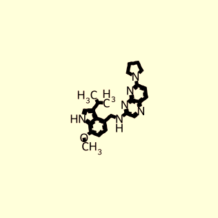 COc1ccc(CNc2cnc3ccc(N4CCCC4)nc3n2)c2c(C(C)C)c[nH]c12